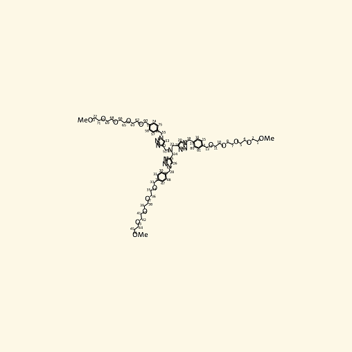 COCCOCCOCCOCCOCc1ccc(Cn2cc(CN(Cc3cn(Cc4ccc(COCCOCCOCCOCCOC)cc4)nn3)Cc3cn(Cc4ccc(COCCOCCOCCOCCOC)cc4)nn3)nn2)cc1